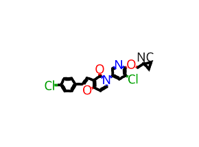 N#CC1(COc2ncc(-n3ccc4oc(-c5ccc(Cl)cc5)cc4c3=O)cc2Cl)CC1